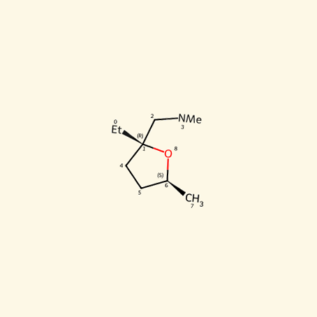 CC[C@]1(CNC)CC[C@H](C)O1